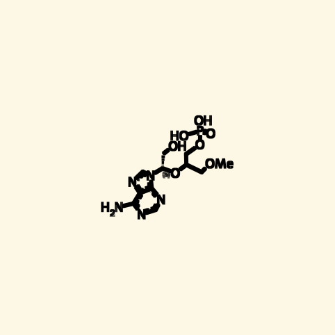 COCC(COP(=O)(O)O)O[C@@H](CO)n1cnc2c(N)ncnc21